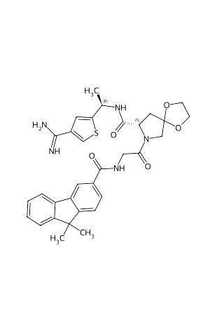 C[C@@H](NC(=O)[C@@H]1CC2(CN1C(=O)CNC(=O)c1ccc3c(c1)-c1ccccc1C3(C)C)OCCO2)c1cc(C(=N)N)cs1